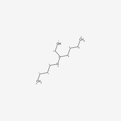 CCCCOC(CO)CCCC